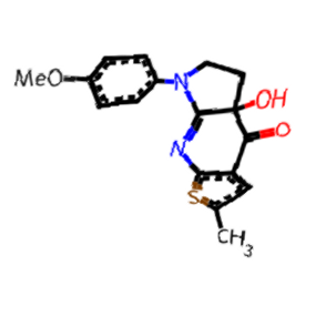 COc1ccc(N2CCC3(O)C(=O)c4cc(C)sc4N=C23)cc1